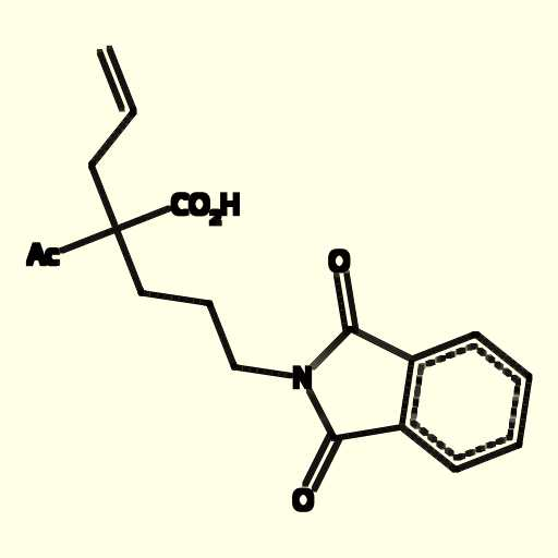 C=CCC(CCCN1C(=O)c2ccccc2C1=O)(C(C)=O)C(=O)O